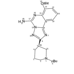 CCCCN1CCC[C@@H](c2nc3c4cccc(OC)c4nc(N)n3n2)C1